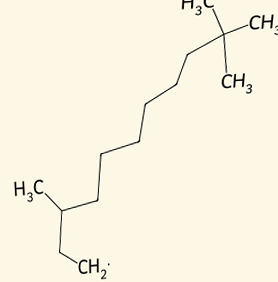 [CH2]CC(C)CCCCCCC(C)(C)C